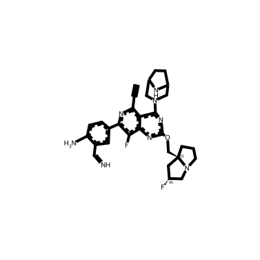 C#Cc1nc(-c2ccc(N)c(C=N)c2)c(F)c2nc(OC[C@@]34CCCN3C[C@H](F)C4)nc(N3CC4CCC(C3)N4)c12